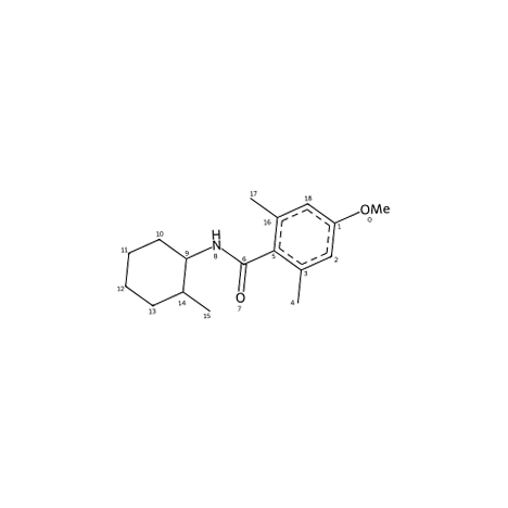 COc1cc(C)c(C(=O)NC2CCCCC2C)c(C)c1